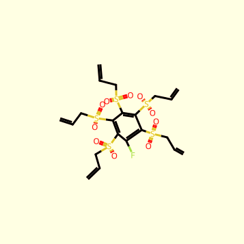 C=CCS(=O)(=O)c1c(F)c(S(=O)(=O)CC=C)c(S(=O)(=O)CC=C)c(S(=O)(=O)CC=C)c1S(=O)(=O)CC=C